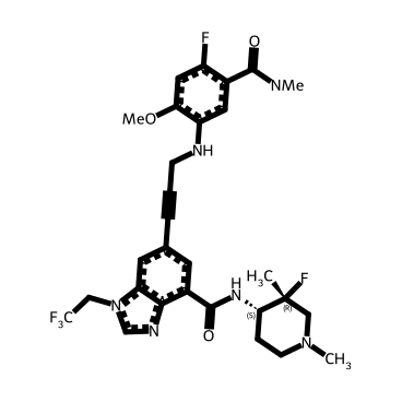 CNC(=O)c1cc(NCC#Cc2cc(C(=O)N[C@H]3CCN(C)C[C@@]3(C)F)c3ncn(CC(F)(F)F)c3c2)c(OC)cc1F